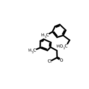 Cc1cccc(CC(=O)Cl)c1.Cc1cccc(CC(=O)O)c1